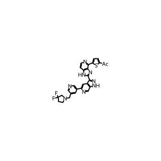 CC(=O)c1ccc(-c2nccc3[nH]c(-c4n[nH]c5cnc(-c6cncc(CN7CCC(F)(F)C7)c6)cc45)nc23)s1